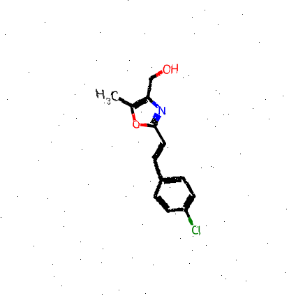 Cc1oc(C=Cc2ccc(Cl)cc2)nc1CO